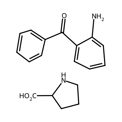 Nc1ccccc1C(=O)c1ccccc1.O=C(O)C1CCCN1